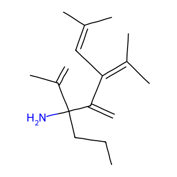 C=C(C)C(N)(CCC)C(=C)C(C=C(C)C)=C(C)C